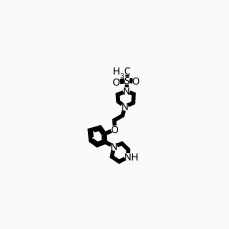 CS(=O)(=O)N1CCN(CCOc2ccccc2N2CCNCC2)CC1